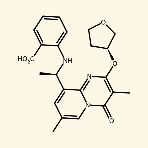 Cc1cc([C@@H](C)Nc2ccccc2C(=O)O)c2nc(O[C@H]3CCOC3)c(C)c(=O)n2c1